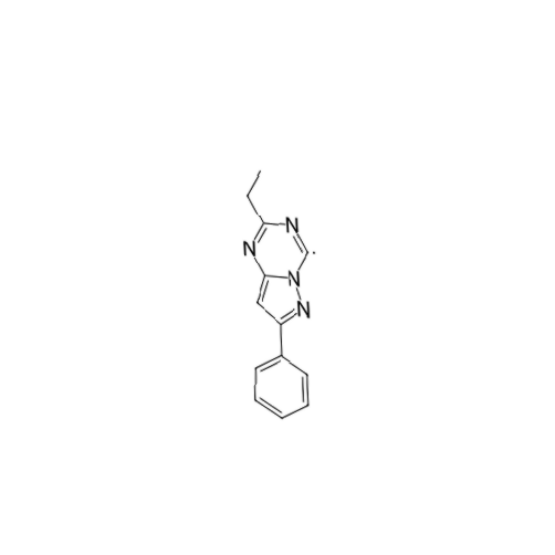 CCc1n[c]n2nc(-c3ccccc3)cc2n1